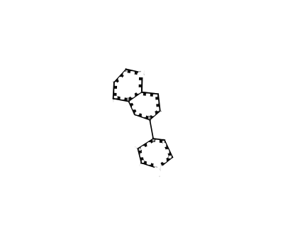 c1cnc2ccc(-c3ccncc3)cc2c1